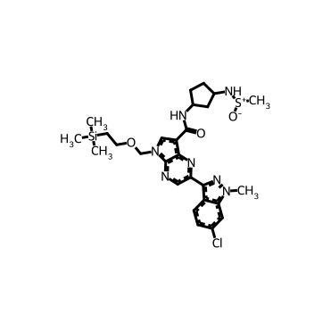 Cn1nc(-c2cnc3c(n2)c(C(=O)NC2CCC(N[S+](C)[O-])C2)cn3COCC[Si](C)(C)C)c2ccc(Cl)cc21